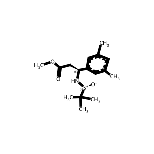 COC(=O)C[C@H](N[S@+]([O-])C(C)(C)C)c1cc(C)cc(C)c1